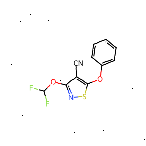 N#Cc1c(OC(F)F)nsc1Oc1ccccc1